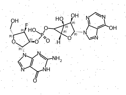 Nc1nc2c(ncn2[C@@H]2O[C@H](CO)[C@@H](F)[C@H]2OP(=O)(O)OC2[C@H]3O[C@@H](n4cnc5c(O)ncnc54)[C@H](O)[C@@]23O)c(=O)[nH]1